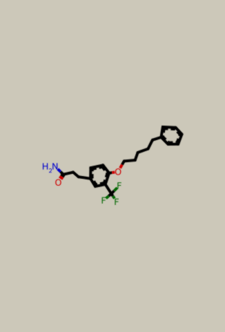 NC(=O)CCc1ccc(OCCCCCc2ccccc2)c(C(F)(F)F)c1